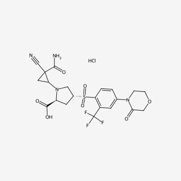 Cl.N#CC1(C(N)=O)CC1N1C[C@H](S(=O)(=O)c2ccc(N3CCOCC3=O)cc2C(F)(F)F)C[C@H]1C(=O)O